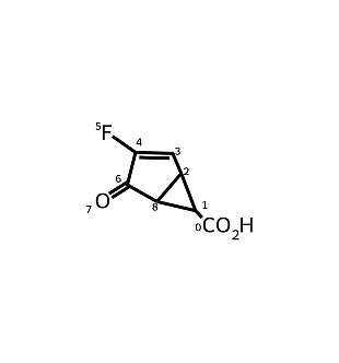 O=C(O)C1C2C=C(F)C(=O)C21